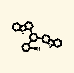 N#Cc1ccccc1-c1cc(-c2ccc3c(c2)sc2ccccc23)cc(-c2cccc3c2sc2ccccc23)c1